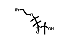 CC(C)CCOC(C)(C)C(C)(C)[PH](=O)C(C)(C)O